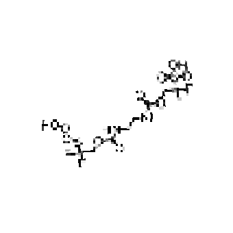 O=C(NCCNC(=O)OCC(F)(F)S(=O)(=O)O)OCC(F)(F)SOOO